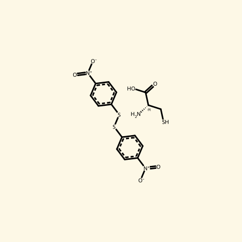 N[C@@H](CS)C(=O)O.O=[N+]([O-])c1ccc(SSc2ccc([N+](=O)[O-])cc2)cc1